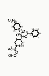 CC(=O)C(OC=O)C1CCC(N(OCc2ccccc2)S(=O)(=O)c2ccc([N+](=O)[O-])cc2)CN1